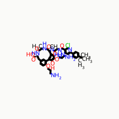 C[C@@H]1NC(=O)[C@@H](N(C)C(=O)CNC(=O)c2c(N)cc(-c3ccc(C(C)(C)C)cc3)nc2Cl)c2cc(OCCCN)c(O)c(c2)-c2cc(ccc2OCCCN)C[C@@H](C(=O)O)NC1=O